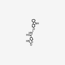 O=C1CNc2cc([C@@H](O)CNCCOc3ccc4c(c3)[nH]c3ccccc34)ccc2O1